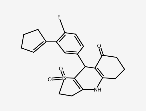 O=C1CCCC2=C1C(c1ccc(F)c(C3=CCCC3)c1)C1=C(CCS1(=O)=O)N2